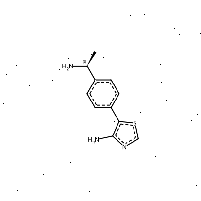 C[C@H](N)c1ccc(-c2scnc2N)cc1